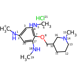 CNc1cc(NC)c(OCC2CCCN(C)C2)c(NC)c1.Cl